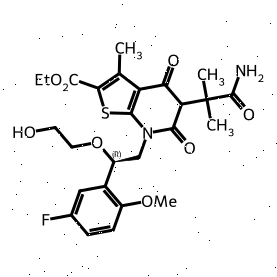 CCOC(=O)c1sc2c(c1C)C(=O)C(C(C)(C)C(N)=O)C(=O)N2C[C@H](OCCO)c1cc(F)ccc1OC